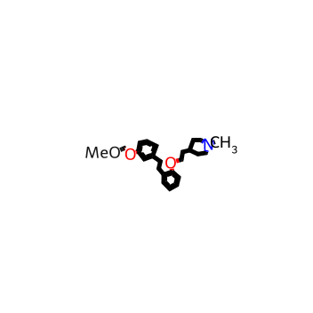 COCOc1cccc(CCc2ccccc2OCCC2CCN(C)CC2)c1